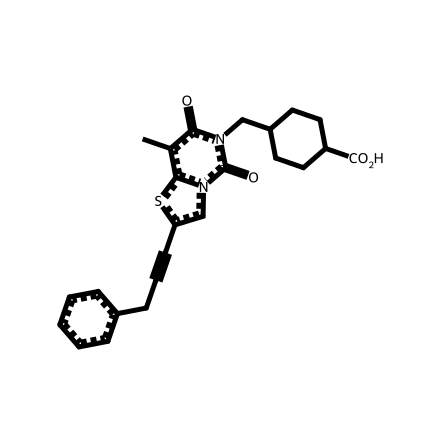 Cc1c(=O)n(CC2CCC(C(=O)O)CC2)c(=O)n2cc(C#CCc3ccccc3)sc12